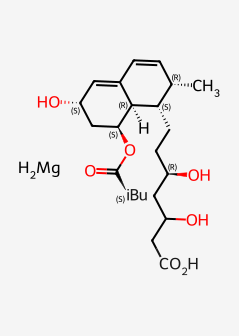 CC[C@H](C)C(=O)O[C@H]1C[C@H](O)C=C2C=C[C@H](C)[C@H](CC[C@@H](O)CC(O)CC(=O)O)[C@H]21.[MgH2]